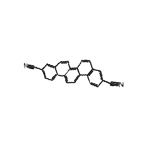 N#Cc1ccc2c(ccc3c2ccc2c4ccc(C#N)cc4ccc23)c1